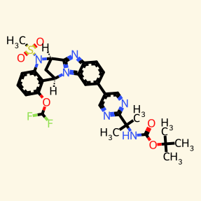 CC(C)(C)OC(=O)NC(C)(C)c1ncc(-c2ccc3nc4n(c3c2)[C@@H]2C[C@H]4N(S(C)(=O)=O)c3cccc(OC(F)F)c32)cn1